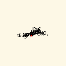 CC(C)C1=C2[C@H]3CC[C@@H]4[C@@]5(C)CC=C(c6ccc(C(=O)OC(C)(C)C)cc6)C(C)(C)[C@@H]5CC[C@@]4(C)[C@]3(C)CC[C@@]2(C(O)C[N+](=O)[O-])CC1=O